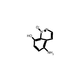 Nc1ccc(O)c2c1ccn[n+]2[O-]